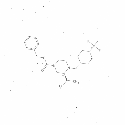 CC(C)[C@H]1CN(C(=O)OCc2ccccc2)CCN1C[C@H]1CC[C@@H](C(F)(F)F)CC1